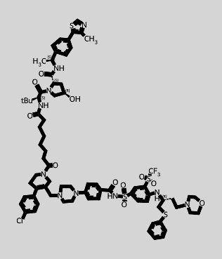 Cc1ncsc1-c1ccc([C@H](C)NC(=O)[C@@H]2C[C@@H](O)CN2C(=O)[C@@H](NC(=O)CCCCCCC(=O)N2CCC(c3ccc(Cl)cc3)=C(CN3CCN(c4ccc(C(=O)NS(=O)(=O)c5ccc(N[C@H](CCN6CCOCC6)CSc6ccccc6)c(S(=O)(=O)C(F)(F)F)c5)cc4)CC3)C2)C(C)(C)C)cc1